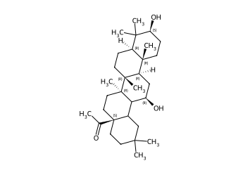 CC(=O)[C@]12CCC(C)(C)CC1C1[C@H](O)C[C@@H]3[C@@]4(C)CC[C@H](O)C(C)(C)[C@@H]4CC[C@@]3(C)[C@]1(C)CC2